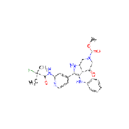 CC(C)OC(=O)N1CC(=O)C2C(Nc3ccccc3)=C(c3ccnc(NC(=O)C(C)(C)F)c3)NC2C1